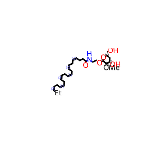 CC/C=C\C/C=C\C/C=C\C/C=C\C/C=C\C/C=C\CCC(=O)NCCO[C@@H]1O[C@H](CO)C[C@H](O)[C@H]1OC